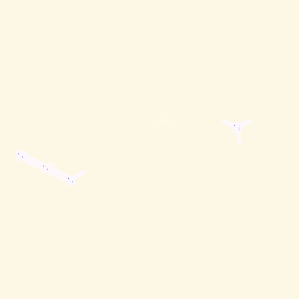 [N-]=[N+]=Nc1ccc(OCCN2CCCC2)cc1